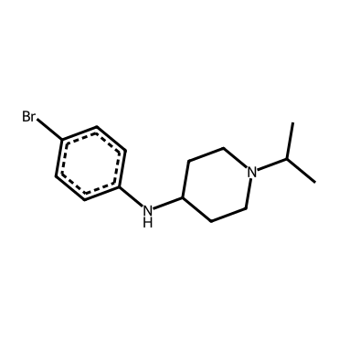 CC(C)N1CCC(Nc2ccc(Br)cc2)CC1